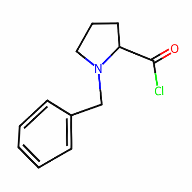 O=C(Cl)C1CCCN1Cc1ccccc1